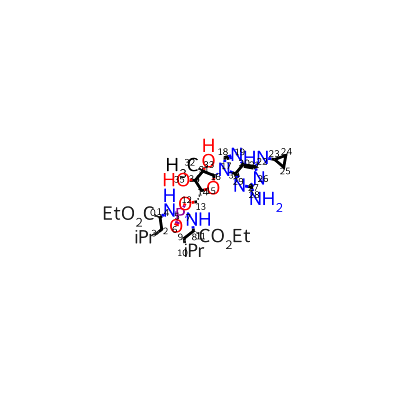 CCOC(=O)[C@H](CC(C)C)NP(=O)(N[C@@H](CC(C)C)C(=O)OCC)OC[C@H]1O[C@@H](n2cnc3c(NC4CC4)nc(N)nc32)[C@@](C)(O)C1O